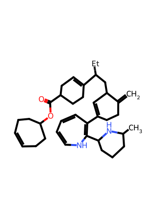 C=C1CCC(C2=C(C3CCCC(C)N3)NC=CC=C2)=CC1CC(CC)C1=CCC(C(=O)OC2CCC=CCC2)CC1